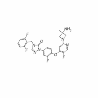 CC1(N)CN(c2cc(Oc3ccc(-n4ncn(Cc5c(F)cccc5F)c4=O)cc3F)c(F)cn2)C1